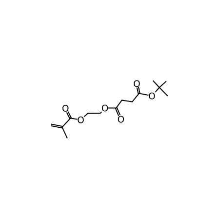 C=C(C)C(=O)OCCOC(=O)CCC(=O)OC(C)(C)C